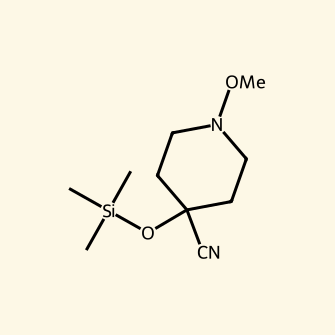 CON1CCC(C#N)(O[Si](C)(C)C)CC1